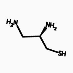 NC[C@@H](N)CS